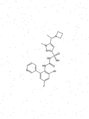 CC(C)c1cc(F)cc(-c2cccnc2)c1NC(=O)NS(=N)(=O)c1cc(C(C)N2CCC2)n(C)n1